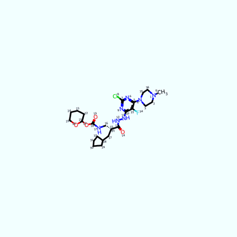 CN1CCN(c2nc(Cl)nc(NNC(=O)[C@@H](CNC(=O)OC3CCCCO3)CC3CCCC3)c2F)CC1